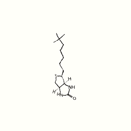 CC(C)(C)CCCCC[C@@H]1SC[C@@H]2NC(=O)N[C@@H]21